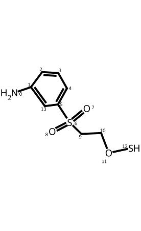 Nc1cccc(S(=O)(=O)CCOS)c1